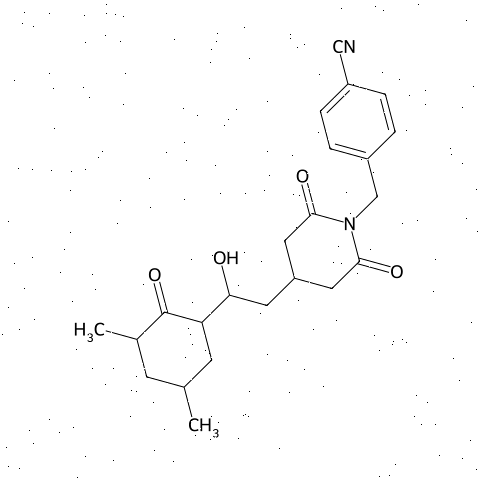 CC1CC(C)C(=O)C(C(O)CC2CC(=O)N(Cc3ccc(C#N)cc3)C(=O)C2)C1